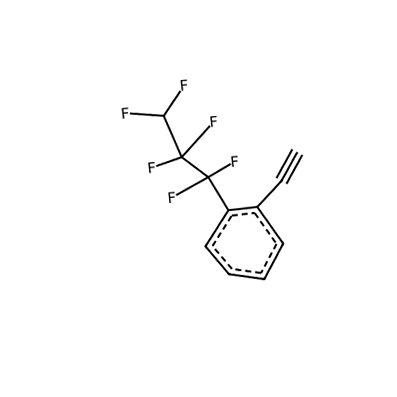 C#Cc1ccccc1C(F)(F)C(F)(F)C(F)F